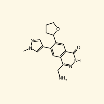 Cn1cc(-c2cc3c(CN)n[nH]c(=O)c3cc2C2CCCO2)cn1